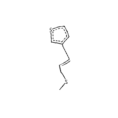 CSC=Cc1ccsc1